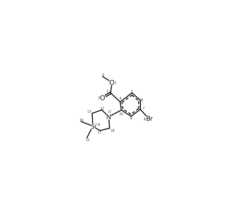 COC(=O)c1ccc(Br)cc1N1CC[Si](C)(C)CC1